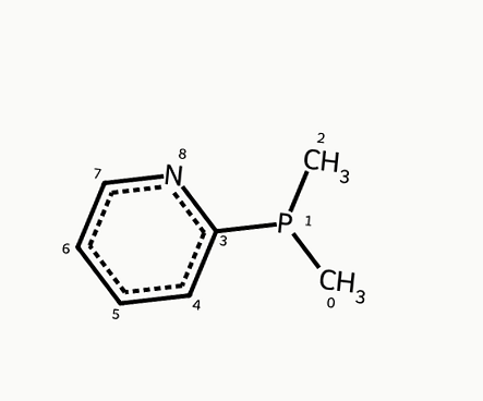 CP(C)c1ccccn1